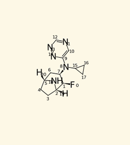 F[C@H]1[C@@H]2CC[C@H](C[C@H]1N(c1cncnn1)C1CC1)N2